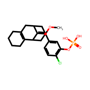 CO/C(=C1\C2CCCC1C1=C(CCCC1)C2)c1ccc(Cl)c(OP(=O)(O)O)c1